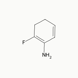 NC1=C(F)CCC=C1